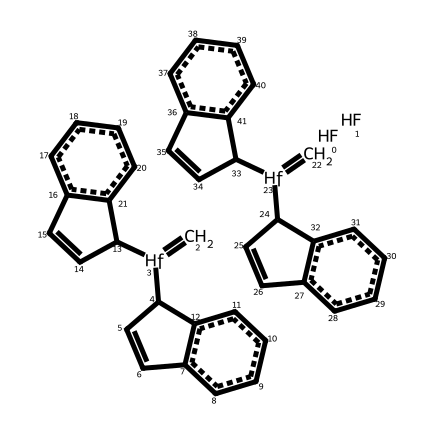 F.F.[CH2]=[Hf]([CH]1C=Cc2ccccc21)[CH]1C=Cc2ccccc21.[CH2]=[Hf]([CH]1C=Cc2ccccc21)[CH]1C=Cc2ccccc21